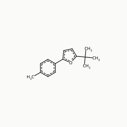 Cc1ccc(-c2ccc(C(C)(C)C)o2)cc1